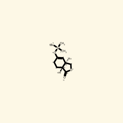 CC(C)(C)[Si](C)(C)OC1=C[C@H]2COC(=O)[C@@H]2CC1